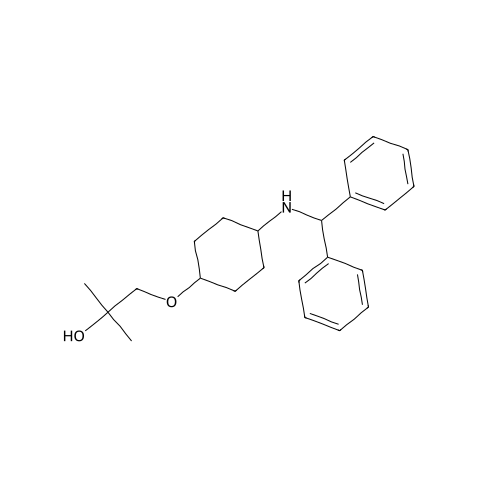 CC(C)(O)COC1CCC(NC(c2ccccc2)c2ccccc2)CC1